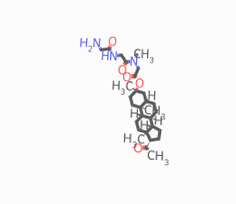 CC(=O)[C@H]1CC[C@H]2[C@@H]3CC[C@H]4C[C@](C)(OC(=O)CN(C)C(=O)CNC(=O)CN)CC[C@]4(C)[C@H]3CC[C@]12C